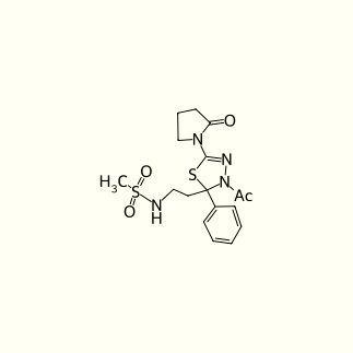 CC(=O)N1N=C(N2CCCC2=O)SC1(CCNS(C)(=O)=O)c1ccccc1